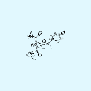 CNC(=O)c1[nH]c(C(=O)NC(C)C)cc1O[C@@H](C)c1ccc(Cl)cc1